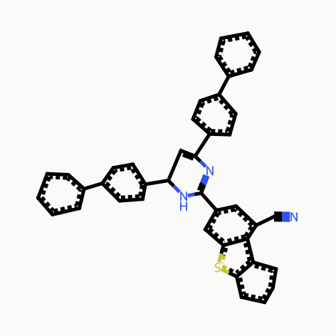 N#Cc1cc(C2=NC(c3ccc(-c4ccccc4)cc3)=CC(c3ccc(-c4ccccc4)cc3)N2)cc2sc3ccccc3c12